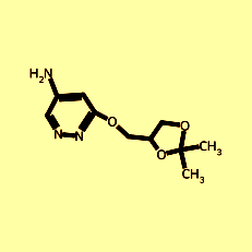 CC1(C)OCC(COc2cc(N)cnn2)O1